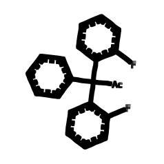 CC(=O)C(c1ccccc1)(c1ccccc1F)c1ccccc1F